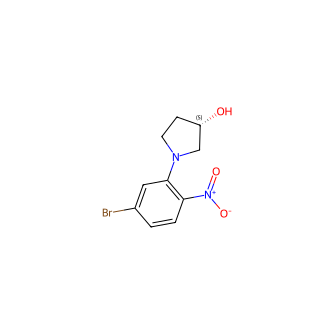 O=[N+]([O-])c1ccc(Br)cc1N1CC[C@H](O)C1